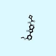 CCOc1cc(-c2cc3cnc(NC(=O)C4CCC4)cc3[nH]2)ccn1